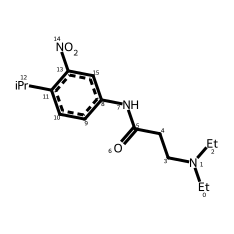 CCN(CC)CCC(=O)Nc1ccc(C(C)C)c([N+](=O)[O-])c1